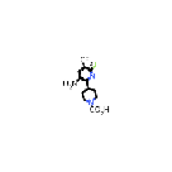 O=C(O)N1CCC(c2nc(F)c(C(F)(F)F)cc2[N+](=O)[O-])CC1